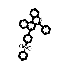 O=S(=O)(c1ccccc1)c1ccc(-c2cc3c(-c4ccccc4)nc4ccccc4c3c3ccccc23)cc1